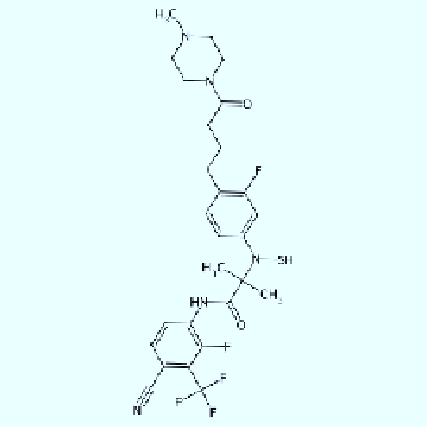 CN1CCN(C(=O)CCCc2ccc(N(S)C(C)(C)C(=O)Nc3ccc(C#N)c(C(F)(F)F)c3F)cc2F)CC1